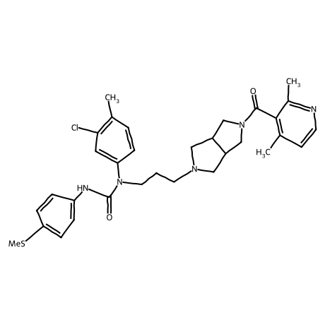 CSc1ccc(NC(=O)N(CCCN2CC3CN(C(=O)c4c(C)ccnc4C)CC3C2)c2ccc(C)c(Cl)c2)cc1